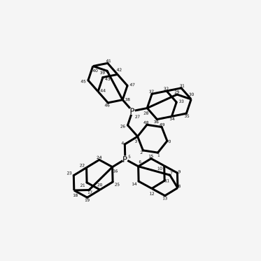 C1CCC(CP(C23CC4CC(CC(C4)C2)C3)C23CC4CC(CC(C4)C2)C3)(CP(C23CC4CC(CC(C4)C2)C3)C23CC4CC(CC(C4)C2)C3)CC1